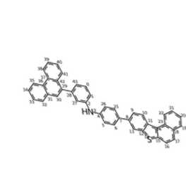 c1cc(Nc2ccc(-c3ccc4c(c3)sc3ccc5ccccc5c34)cc2)cc(-c2cc3ccccc3c3ccccc23)c1